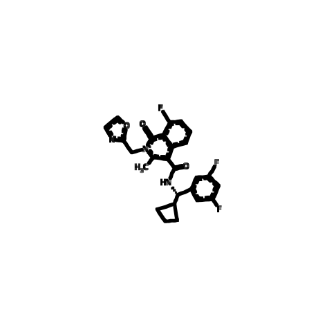 Cc1c(C(=O)N[C@H](c2cc(F)cc(F)c2)C2CCC2)c2cccc(F)c2c(=O)n1Cc1ncco1